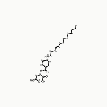 CCCCCCCCCC=CCCCNc1ccc(C(=O)OC(CC(=O)O)C(=O)O)cc1